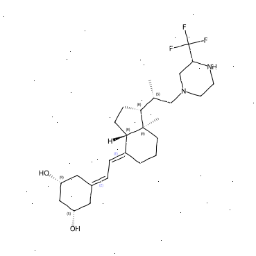 C[C@H](CN1CCNC(C(F)(F)F)C1)[C@H]1CC[C@H]2/C(=C/C=C3\C[C@@H](O)C[C@@H](O)C3)CCC[C@]12C